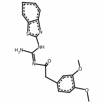 COc1ccc(CC(=O)/N=C(/N)Nc2nc3ccccc3s2)cc1OC